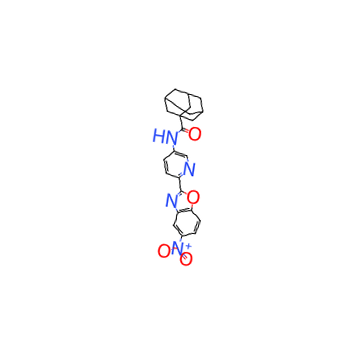 O=C(Nc1ccc(-c2nc3cc([N+](=O)[O-])ccc3o2)nc1)C12CC3CC(CC(C3)C1)C2